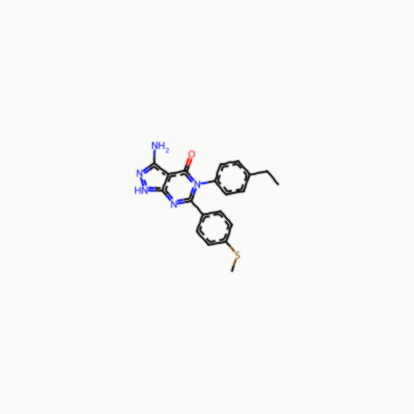 CCc1ccc(-n2c(-c3ccc(SC)cc3)nc3[nH]nc(N)c3c2=O)cc1